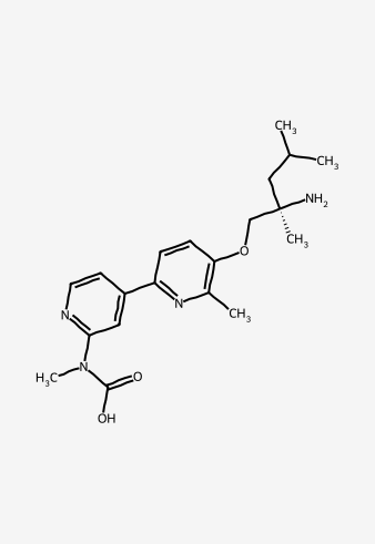 Cc1nc(-c2ccnc(N(C)C(=O)O)c2)ccc1OC[C@](C)(N)CC(C)C